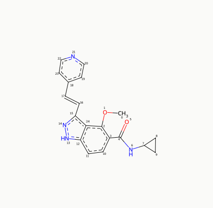 COc1c(C(=O)NC2CC2)ccc2[nH]nc(C=Cc3ccncc3)c12